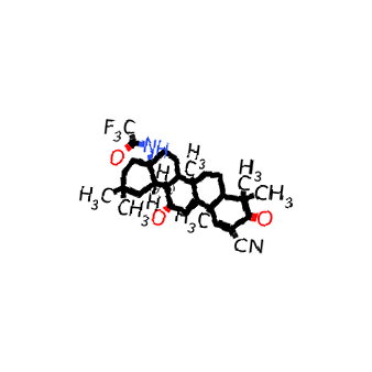 CC1(C)CCC2(NC(=O)C(F)(F)F)CCC3[C@H](C(=O)C=C4C5(C)C=C(C#N)C(=O)C(C)(C)C5CCC43C)[C@@H]2C1